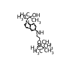 C[C@H](n1ccc2cc(NCCO[Si](C)(C)C(C)(C)C)ccc21)C(C)(C)O